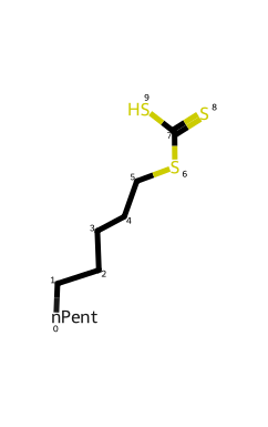 CCCCCCCCCCSC(=S)S